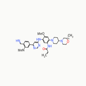 C=CC(=O)Nc1cc(Nc2cc(-c3ccc(C=N)c(NC)c3)ncn2)c(OC)cc1N1CCC(N2CCO[C@@H](C)C2)CC1